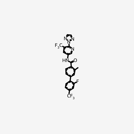 Cc1cc(-c2ccc(C(F)(F)F)cc2F)ccc1C(=O)Nc1cnc(-n2nccn2)c(C(F)(F)F)c1